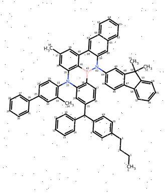 CCCCc1ccc(C(c2ccccc2)c2ccc3c(c2)N(c2ccc(-c4ccccc4)cc2C)c2cc(C)cc4c2B3N(c2ccc3c(c2)C(C)(C)c2ccccc2-3)c2cc3ccccc3cc2-4)cc1